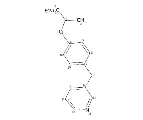 CCOC(=O)C(C)Oc1ccc(Cc2cccnc2)cc1